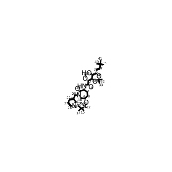 CO[C@@H](C(=O)N[C@H]1CC[C@@H](O[Si](C)(C)C(C)(C)C)CN(Cc2cccnc2)C1=O)[C@@H]1OC(C)(C)O[C@H](C=CC(C)(C)C)[C@H]1O